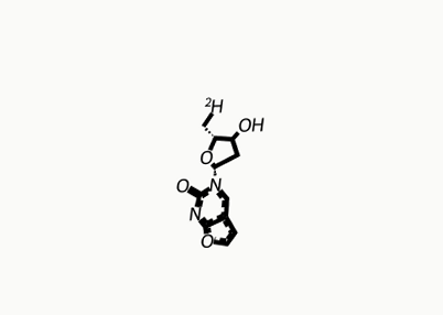 [2H]C[C@H]1O[C@@H](n2cc3ccoc3nc2=O)CC1O